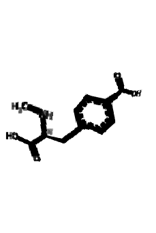 CN[C@@H](Cc1ccc(C(=O)O)cc1)C(=O)O